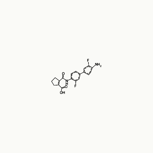 Nc1ccc(-c2ccc(NC(=O)C3=C(C(=O)O)CCC3)c(F)c2)cc1F